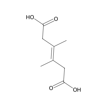 C/C(CC(=O)O)=C(/C)CC(=O)O